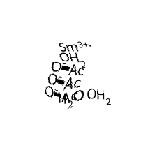 CC(=O)[O-].CC(=O)[O-].CC(=O)[O-].O.O.O.[Sm+3]